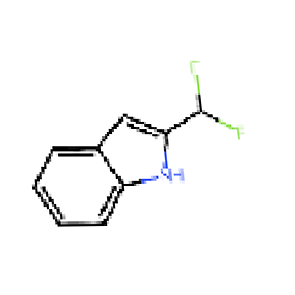 FC(F)c1cc2ccccc2[nH]1